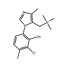 Cc1ncn(-c2ccc(F)c(Cl)c2C#N)c1C[N+](C)(C)C